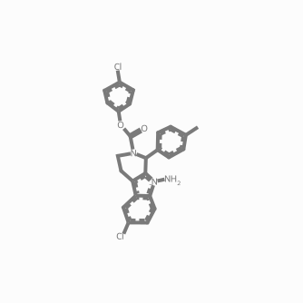 Cc1ccc(C2c3c(c4cc(Cl)ccc4n3N)CCN2C(=O)Oc2ccc(Cl)cc2)cc1